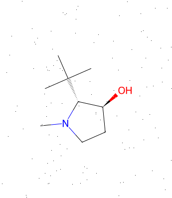 CN1CC[C@H](O)[C@H]1C(C)(C)C